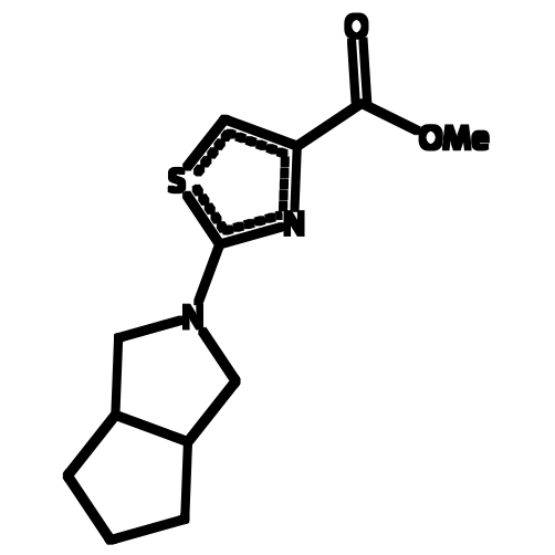 COC(=O)c1csc(N2CC3CCCC3C2)n1